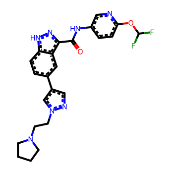 O=C(Nc1ccc(OC(F)F)nc1)c1n[nH]c2ccc(-c3cnn(CCN4CCCC4)c3)cc12